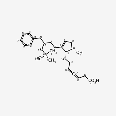 CC(C)(C)[Si](C)(C)OC(CCC1=CC[C@H](O)[C@@H]1CCC=C=CCC(=O)O)Cc1ccccc1